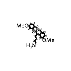 COc1ccc(CN(Cc2ccc(OC)cc2)C(=O)CCCCCN)cc1